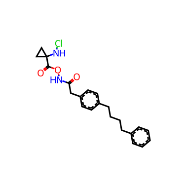 O=C(Cc1ccc(CCCCc2ccccc2)cc1)NOC(=O)C1(NCl)CC1